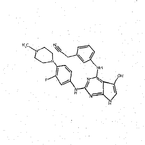 CN1CCN(c2ccc(Nc3nc(Nc4cccc(CC#N)c4)c4c(O)c[nH]c4n3)cc2F)CC1